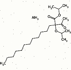 CCCCCCCCCCCCC(OC(C)C)(C(C)=O)C(=O)OC(C)C.[AlH3]